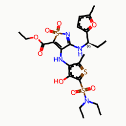 CCOC(=O)C1=C(Nc2c(C)sc(S(=O)(=O)N(CC)CC)c2O)C(N[C@H](CC)c2ccc(C)o2)=NS1(=O)=O